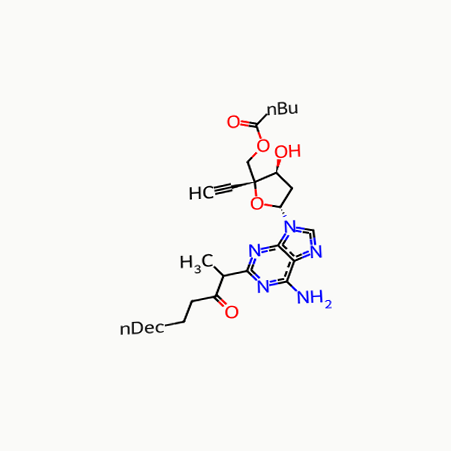 C#C[C@]1(COC(=O)CCCC)O[C@@H](n2cnc3c(N)nc(C(C)C(=O)CCCCCCCCCCCC)nc32)C[C@@H]1O